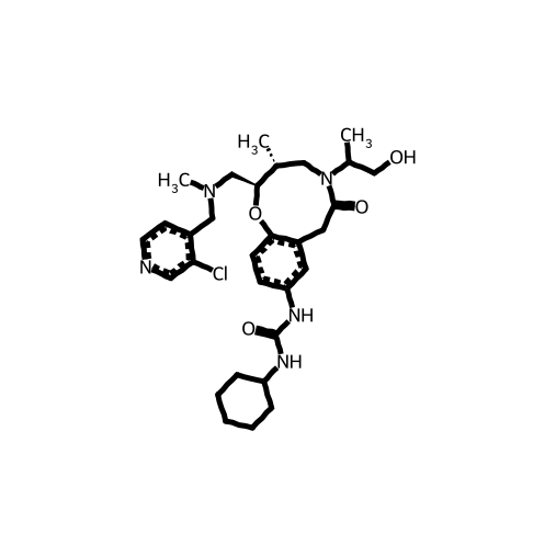 CC(CO)N1C[C@@H](C)[C@H](CN(C)Cc2ccncc2Cl)Oc2ccc(NC(=O)NC3CCCCC3)cc2CC1=O